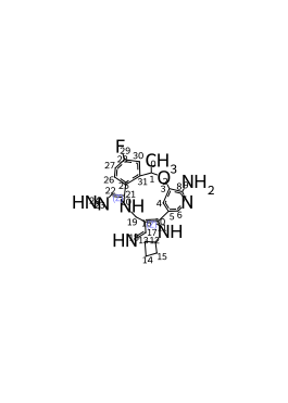 CC1Oc2cc(cnc2N)/C(NC2CCC2)=C(/C=N)CN/C(=C\N=N)c2ccc(F)cc21